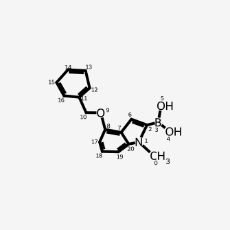 Cn1c(B(O)O)cc2c(OCc3ccccc3)cccc21